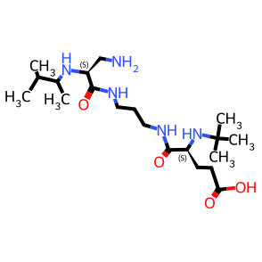 CC(C)C(C)N[C@@H](CN)C(=O)NCCCNC(=O)[C@H](CCC(=O)O)NC(C)(C)C